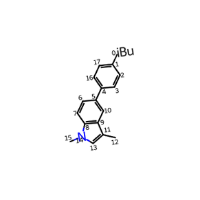 CCC(C)c1ccc(-c2ccc3c(c2)c(C)cn3C)cc1